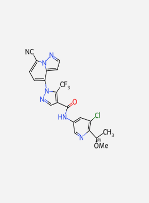 CO[C@H](C)c1ncc(NC(=O)c2cnn(-c3ccc(C#N)n4nccc34)c2C(F)(F)F)cc1Cl